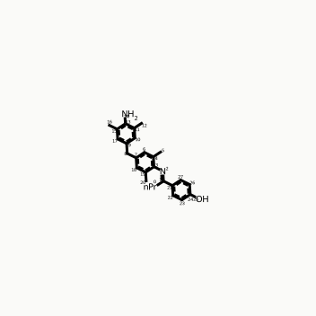 CCC/C(=N\c1c(C)cc(Cc2cc(C)c(N)c(C)c2)cc1C)c1ccc(O)cc1